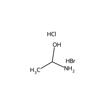 Br.CC(N)O.Cl